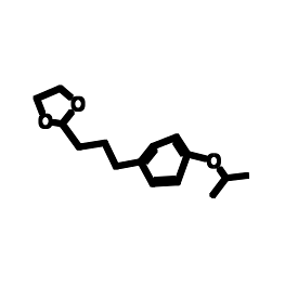 CC(C)Oc1ccc(CCCC2OCCO2)cc1